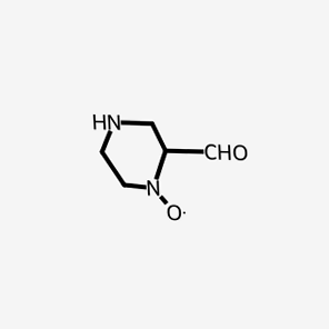 [O]N1CCNCC1C=O